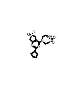 O=S1(=O)Cc2nc(C3CCCC3)nc(N3CCNS(=O)(=O)CC3)c2C1